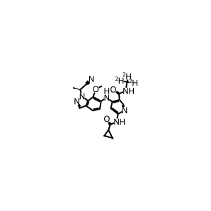 [2H]C([2H])([2H])NC(=O)c1cnc(NC(=O)C2CC2)cc1Nc1ccc2cnn([C@@H](C)C#N)c2c1OC